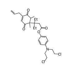 C=CCC1=CC(=O)C(C)(C(CC)(CC)CC(=O)Oc2ccc(N(CCCl)CCCl)cc2)C(C)C1=O